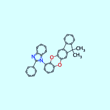 CC1(C)c2ccccc2-c2cc3c(cc21)Oc1cccc(-n2c(-c4ccccc4)nc4ccccc42)c1O3